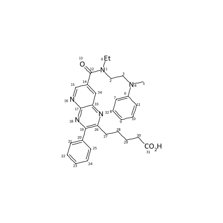 CCN(CCN(C)c1ccccc1)C(=O)c1cnc2nc(-c3ccccc3)c(CCCCC(=O)O)nc2c1